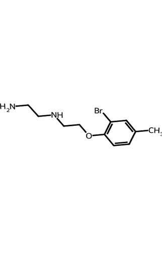 Cc1ccc(OCCNCCN)c(Br)c1